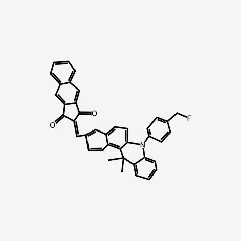 CC1(C)c2ccccc2N(c2ccc(CF)cc2)c2ccc3cc(C=C4C(=O)c5cc6ccccc6cc5C4=O)ccc3c21